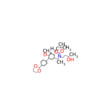 COc1ccc([C@H](C)N(CCC(C)O)C(=O)OC(C)(C)C)cc1-c1ccc(C2OCCCO2)cc1